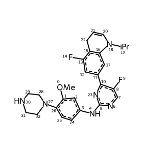 COc1cc(Nc2ncc(F)c(-c3cc(F)c4c(c3)N(C(C)C)C=CC4)n2)ccc1N1CCNCC1